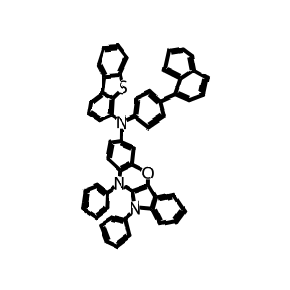 c1ccc(N2c3ccc(N(c4ccc(-c5cccc6ccccc56)cc4)c4cccc5c4sc4ccccc45)cc3Oc3c2n(-c2ccccc2)c2ccccc32)cc1